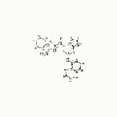 CN(CCC(Cc1cccs1)Oc1cccc2c1CC=CC2)C(=O)CC1(CN)CCCCC1